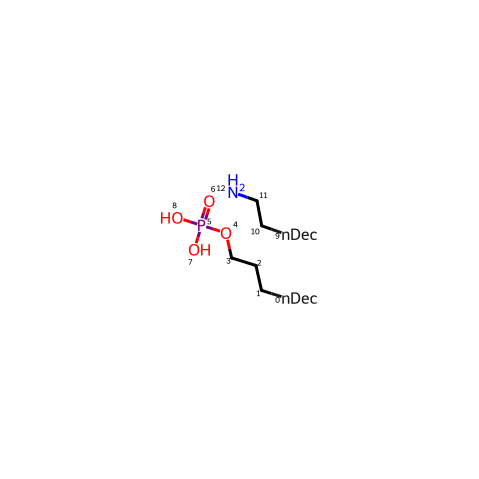 CCCCCCCCCCCCCOP(=O)(O)O.CCCCCCCCCCCCN